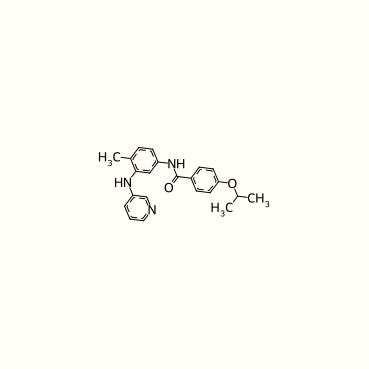 Cc1ccc(NC(=O)c2ccc(OC(C)C)cc2)cc1Nc1cccnc1